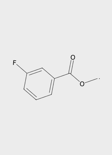 [CH2]OC(=O)c1cccc(F)c1